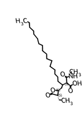 CCCCCCCCCCCCCCCCCC(C[C@@H]1OC(=O)[C@H]1CC)[C@H](C(=O)O)C(=O)NC